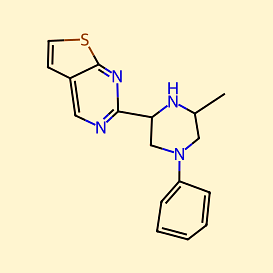 CC1CN(c2ccccc2)CC(c2ncc3ccsc3n2)N1